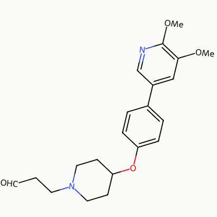 COc1cc(-c2ccc(OC3CCN(CCC=O)CC3)cc2)cnc1OC